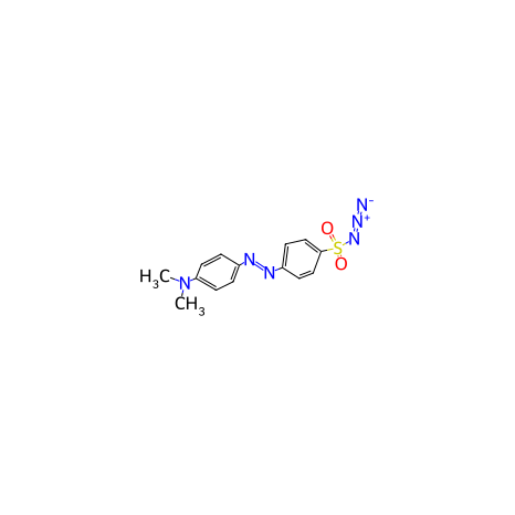 CN(C)c1ccc(N=Nc2ccc(S(=O)(=O)N=[N+]=[N-])cc2)cc1